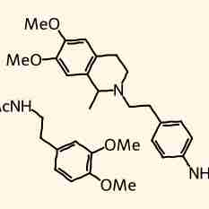 COc1cc2c(cc1OC)C(C)N(CCc1ccc(N)cc1)CC2.COc1ccc(CCNC(C)=O)cc1OC